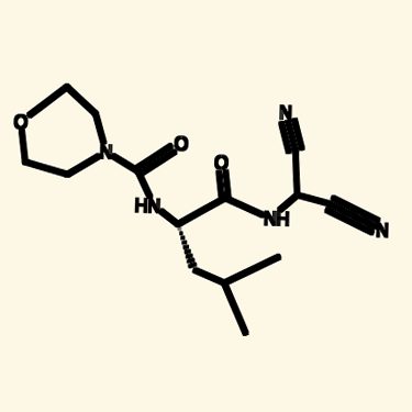 CC(C)C[C@H](NC(=O)N1CCOCC1)C(=O)NC(C#N)C#N